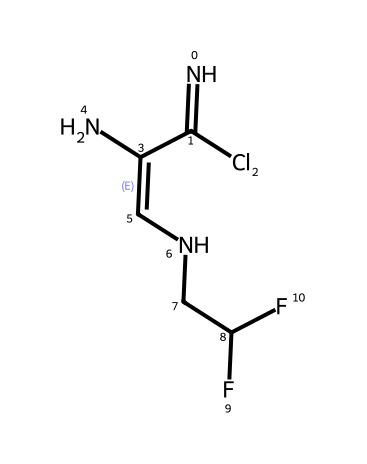 N=C(Cl)/C(N)=C\NCC(F)F